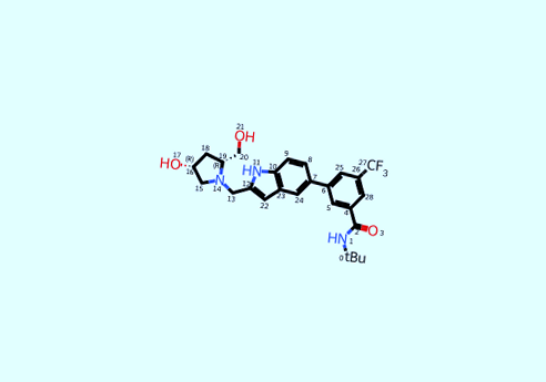 CC(C)(C)NC(=O)c1cc(-c2ccc3[nH]c(CN4C[C@H](O)C[C@@H]4CO)cc3c2)cc(C(F)(F)F)c1